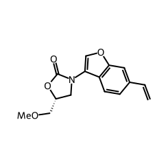 C=Cc1ccc2c(N3C[C@H](COC)OC3=O)coc2c1